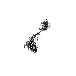 COc1cc(C(=O)NC2CCN(CCCOCCCCNc3cccc4c3C(=O)N(C3CCC(=O)NC3=O)C4=O)CC2)c(F)cc1Nc1ncc2c(n1)N(C1CCCC1)CC(F)(F)C(=O)N2C